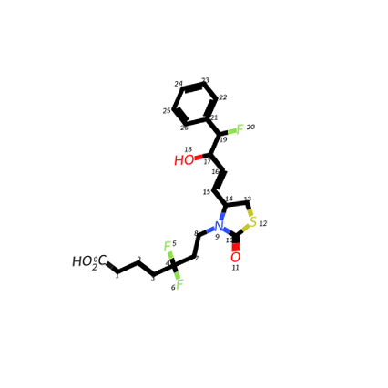 O=C(O)CCCC(F)(F)CCN1C(=O)SCC1C=CC(O)C(F)c1ccccc1